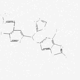 CO/N=C/c1cc(C(Oc2cc(Br)c3nc(C)sc3c2)c2nnco2)ncc1F